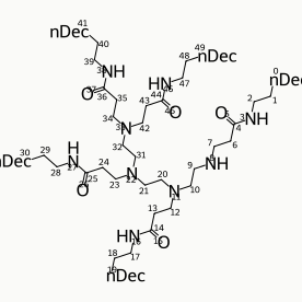 CCCCCCCCCCCCNC(=O)CCNCCN(CCC(=O)NCCCCCCCCCCCC)CCN(CCC(=O)NCCCCCCCCCCCC)CCN(CCC(=O)NCCCCCCCCCCCC)CCC(=O)NCCCCCCCCCCCC